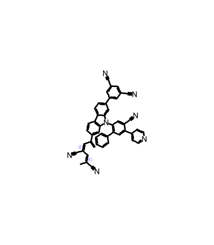 C=C(/C=C(C#N)\C=C(/C)C#N)c1ccc2c3ccc(-c4cc(C#N)cc(C#N)c4)cc3n(-c3cc(C#N)c(-c4ccncc4)cc3-c3ccccc3)c2c1